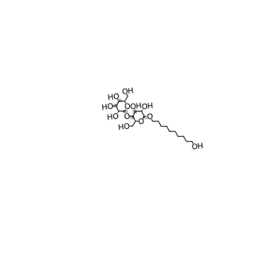 OCCCCCCCCCCO[C@@H]1OC(CO)[C@@H](O[C@H]2OC(CO)[C@@H](O)[C@H](O)C2O)[C@H](O)C1O